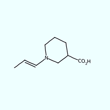 CC=CN1CCCC(C(=O)O)C1